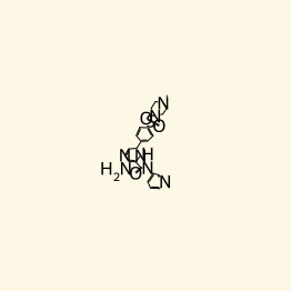 CN1CCN(S(=O)(=O)c2ccc(-c3cnc(N)c(C(=O)Nc4cccnc4)n3)cc2)CC1